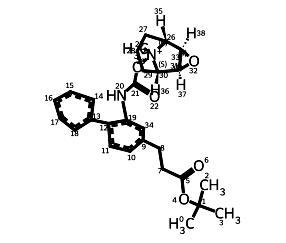 CC(C)(C)OC(=O)CCc1ccc(-c2ccccc2)c(NC(=O)O[N+]2(C)[C@@H]3CCC[C@H]2[C@@H]2O[C@@H]23)c1